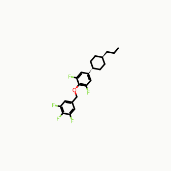 CCC[C@H]1CC[C@H](c2cc(F)c(OCc3cc(F)c(F)c(F)c3)c(F)c2)CC1